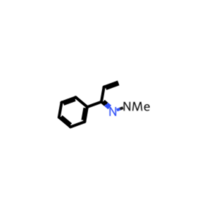 C=C/C(=N\NC)c1ccccc1